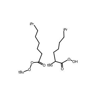 CC(C)CCCCC(C(=O)OO)C(C)(C)C.CC(C)CCCCCC(=O)OOC(C)(C)C